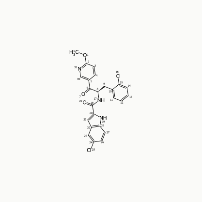 COc1ccc(C(=O)[C@@H](Cc2ccccc2Cl)NC(=O)c2cc3cc(Cl)ccc3[nH]2)cn1